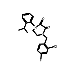 CC(C)c1ccccc1N1CCN(Cc2ccc(F)cc2Cl)C(=O)C1=O